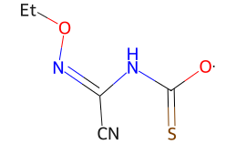 CCON=C(C#N)NC([O])=S